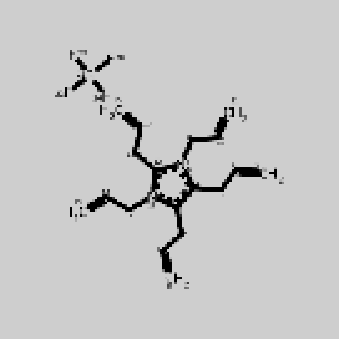 C=CCc1c(CC=C)[n+](CC=C)c(CC=C)n1CC=C.F[B-](F)(F)F